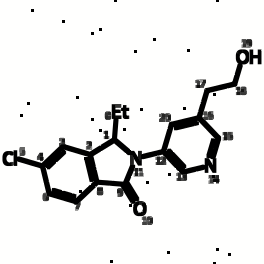 CCC1c2cc(Cl)ccc2C(=O)N1c1cncc(CCO)c1